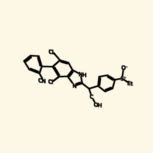 CC[S+]([O-])c1ccc(C(CO)c2nc3c(Cl)c(-c4ccccc4C#N)c(Cl)cc3[nH]2)cc1